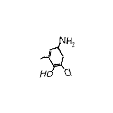 CC1=CC(N)CC(Cl)=C1O